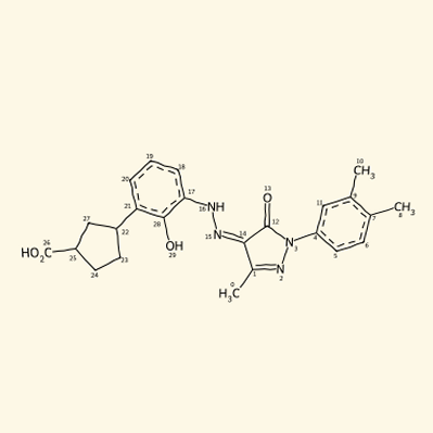 CC1=NN(c2ccc(C)c(C)c2)C(=O)C1=NNc1cccc(C2CCC(C(=O)O)C2)c1O